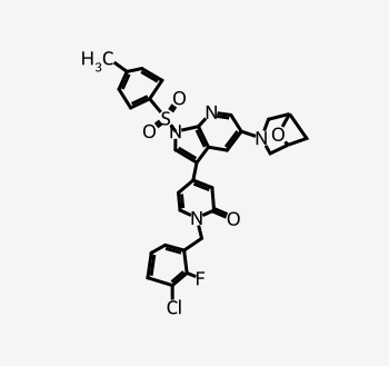 Cc1ccc(S(=O)(=O)n2cc(-c3ccn(Cc4cccc(Cl)c4F)c(=O)c3)c3cc(N4CC5CC(C4)O5)cnc32)cc1